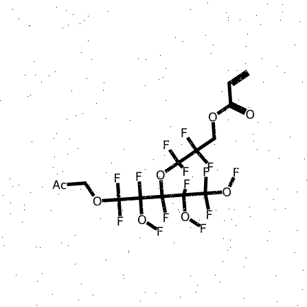 C=CC(=O)OCC(F)(F)C(F)(F)OC(F)(C(F)(OF)C(F)(F)OF)C(F)(OF)C(F)(F)OCC(C)=O